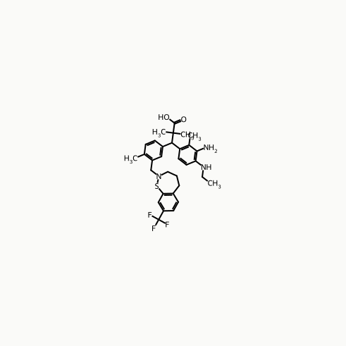 CCNc1ccc(C(c2ccc(C)c(CN3CCCc4ccc(C(F)(F)F)cc4S3)c2)C(C)(C)C(=O)O)c(C)c1N